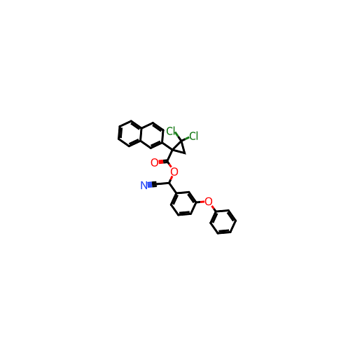 N#CC(OC(=O)C1(c2ccc3ccccc3c2)CC1(Cl)Cl)c1cccc(Oc2ccccc2)c1